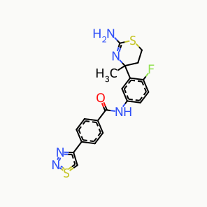 CC1(c2cc(NC(=O)c3ccc(-c4csnn4)cc3)ccc2F)CCSC(N)=N1